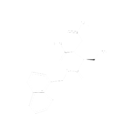 COC[C@@H](C(=O)NCc1cccc2ccccc12)C(CC(N)=O)C(N)=O